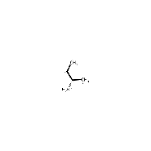 B[C@@H](C)CC